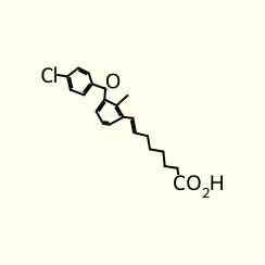 Cc1c(C=CCCCCCC(=O)O)cccc1C(=O)c1ccc(Cl)cc1